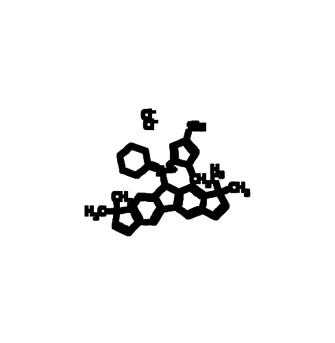 CC1C=C(C(C)(C)C)C=[C]1[Zr+2](=[C]1CCCCC1)[CH]1c2cc3c(cc2-c2cc4c(cc21)C(C)(C)C=C4)C=CC3(C)C.[Cl-].[Cl-]